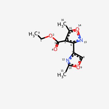 CCOC(=O)c1c(-c2coc(C)n2)noc1C